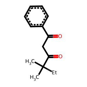 CCC(C)(C)C(=O)CC(=O)c1ccccc1